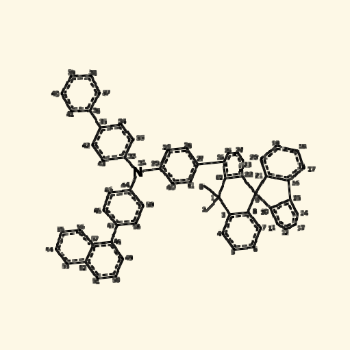 CC1(C)c2ccccc2C2(c3ccccc3-c3ccccc32)c2cccc(-c3ccc(N(c4ccc(-c5ccccc5)cc4)c4ccc(-c5cccc6ccccc56)cc4)cc3)c21